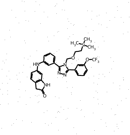 C[Si](C)(C)CCOCn1c(-c2cccc(Nc3ccc4c(c3)NC(=O)C4)c2)nnc1-c1cccc(OC(F)(F)F)c1